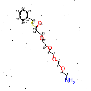 NCCOCCOCCOCCOCCC(=O)SCc1ccccc1